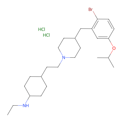 CCNC1CCC(CCN2CCC(Cc3cc(OC(C)C)ccc3Br)CC2)CC1.Cl.Cl